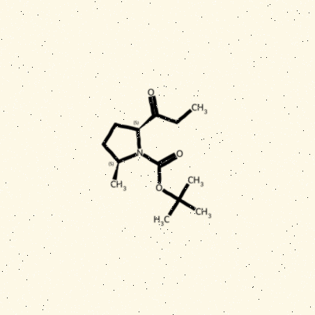 CCC(=O)[C@@H]1CC[C@H](C)N1C(=O)OC(C)(C)C